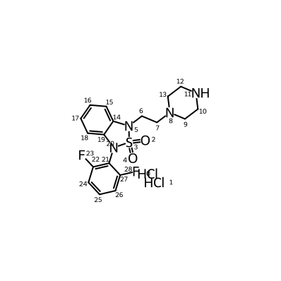 Cl.Cl.O=S1(=O)N(CCN2CCNCC2)c2ccccc2N1c1c(F)cccc1F